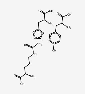 N=C(N)NCCCC(N)C(=O)O.NC(Cc1c[nH]cn1)C(=O)O.NC(Cc1ccc(O)cc1)C(=O)O